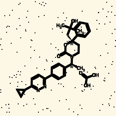 C[C@@H](c1ccc(-c2ccc(C3CC3)nn2)cc1)N1CC[C@](CC(C)(C)O)(c2ccccc2)OC1=O.O=C(O)O